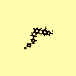 Cc1nc2ccc(Oc3ccc4ncc(-c5cnn(C6CC(O)C6)c5)nc4c3Cl)c(F)c2[nH]1